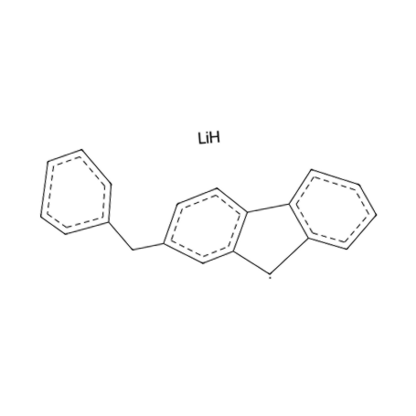 [CH]1c2ccccc2-c2ccc(Cc3ccccc3)cc21.[LiH]